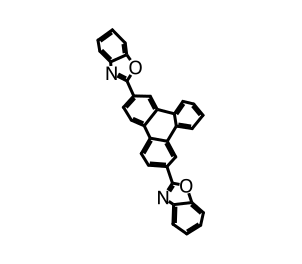 c1ccc2oc(-c3ccc4c5ccc(-c6nc7ccccc7o6)cc5c5ccccc5c4c3)nc2c1